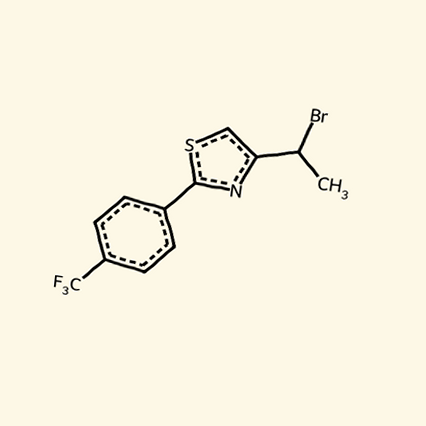 CC(Br)c1csc(-c2ccc(C(F)(F)F)cc2)n1